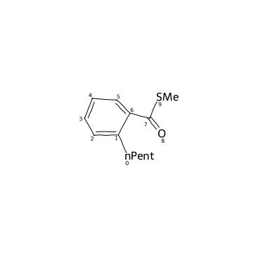 CCCCCc1ccccc1C(=O)SC